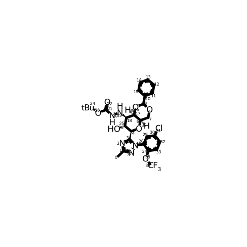 Cc1nc([C@@H]2O[C@@H]3COC(c4ccccc4)O[C@@H]3[C@H](NNC(=O)OC(C)(C)C)[C@H]2O)n(-c2cc(Cl)ccc2OC(F)(F)F)n1